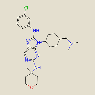 CN(C)C[C@H]1CC[C@@H](n2c(Nc3cccc(Cl)c3)nc3cnc(NC4(C)CCOCC4)nc32)CC1